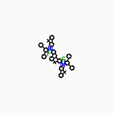 CC1(C)c2ccccc2-c2ccc(N(c3ccc4c(c3)C(C)(C)c3cccc5c3c-4cc3ccc(N(c4ccc6c(c4)C(C)(C)c4ccccc4-6)c4cc(-c6ccccc6)cc(-c6ccccc6)c4F)cc35)c3cc(-c4ccccc4)cc(-c4ccccc4)c3F)cc21